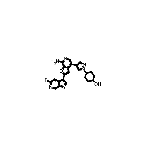 Nc1ncc(-c2cnn(C3CCC(O)CC3)c2)c2cc(-c3csc4cnc(F)cc34)oc12